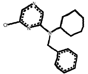 Clc1cncc(N(Cc2ccccc2)C2CCCCC2)n1